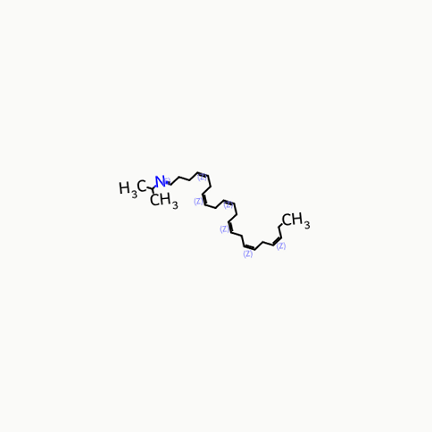 CC/C=C\C/C=C\C/C=C\C/C=C\C/C=C\C/C=C\CC/C=N/C(C)C